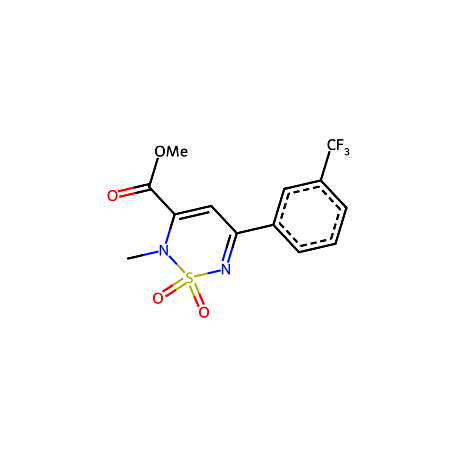 COC(=O)C1=CC(c2cccc(C(F)(F)F)c2)=NS(=O)(=O)N1C